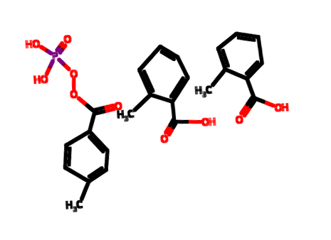 Cc1ccc(C(=O)OOP(=O)(O)O)cc1.Cc1ccccc1C(=O)O.Cc1ccccc1C(=O)O